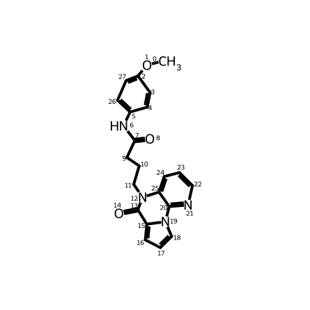 COc1ccc(NC(=O)CCCn2c(=O)c3cccn3c3ncccc32)cc1